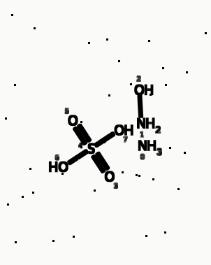 N.NO.O=S(=O)(O)O